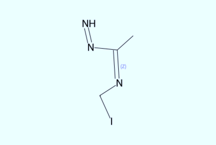 C/C(N=N)=N/CI